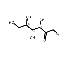 O=C(C[18F])[C@@H](O)[C@H](O)[C@H](O)CO